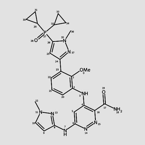 COc1c(Nc2cc(Nc3ccn(C)n3)nnc2C(N)=O)cccc1-c1cc(P(=O)(C2CC2)C2CC2)n(C)n1